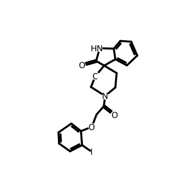 O=C(COc1ccccc1I)N1CCC2(CC1)C(=O)Nc1ccccc12